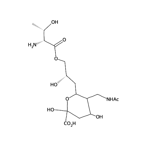 CC(=O)NCC1C(O)CC(O)(C(=O)O)OC1C[C@H](O)COC(=O)[C@H](N)[C@H](C)O